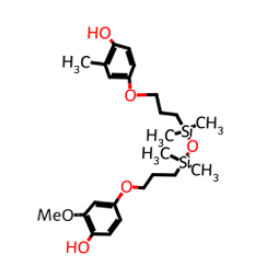 COc1cc(OCCC[Si](C)(C)O[Si](C)(C)CCCOc2ccc(O)c(C)c2)ccc1O